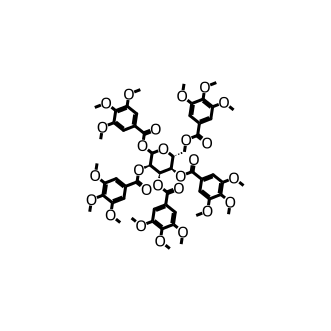 COc1cc(C(=O)OC[C@H]2OC(OC(=O)c3cc(OC)c(OC)c(OC)c3)[C@H](OC(=O)c3cc(OC)c(OC)c(OC)c3)[C@@H](OC(=O)c3cc(OC)c(OC)c(OC)c3)[C@@H]2OC(=O)c2cc(OC)c(OC)c(OC)c2)cc(OC)c1OC